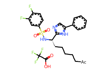 CC(=O)CCCCC[C@H](NS(=O)(=O)c1ccc(F)c(F)c1)c1ncc(-c2ccccc2)[nH]1.O=C(O)C(F)(F)F